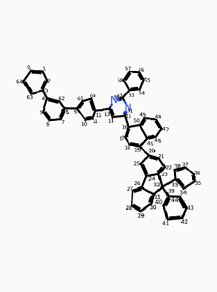 c1ccc(-c2cccc(-c3ccc(-c4cc(-c5ccc(-c6ccc7c(c6)-c6ccccc6C7(c6ccccc6)c6ccccc6)c6ccccc56)nc(-c5ccccc5)n4)cc3)c2)cc1